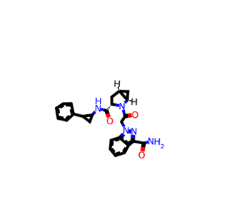 NC(=O)c1nn(CC(=O)N2[C@@H]3C[C@@H]3C[C@H]2C(=O)NC2CC2c2ccccc2)c2ccccc12